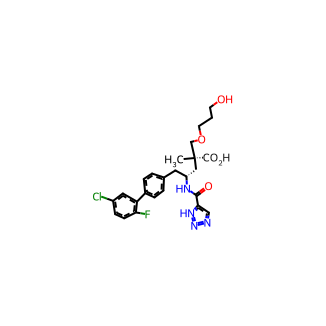 C[C@@](COCCCO)(C[C@@H](Cc1ccc(-c2cc(Cl)ccc2F)cc1)NC(=O)c1cnn[nH]1)C(=O)O